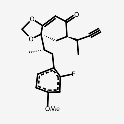 C#CC(C)[C@H]1C[C@]2([C@@H](C)Cc3ccc(OC)cc3F)OCOC2=CC1=O